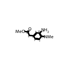 CNc1ccc(CC(=O)OC)cc1N